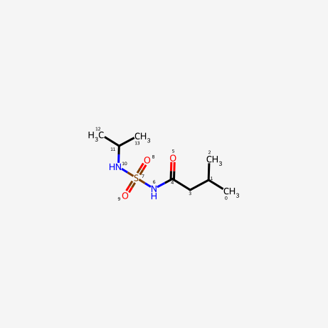 CC(C)CC(=O)NS(=O)(=O)NC(C)C